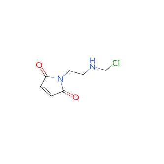 O=C1C=CC(=O)N1CCNCCl